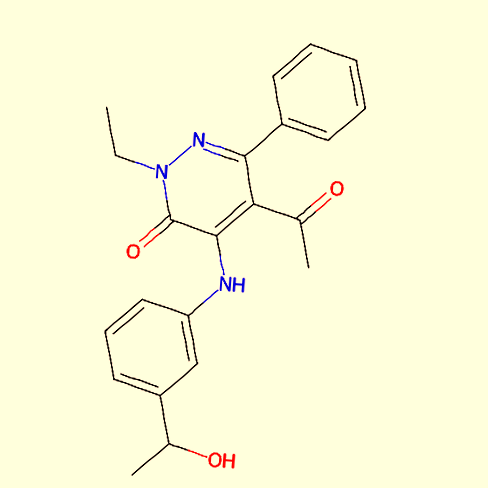 CCn1nc(-c2ccccc2)c(C(C)=O)c(Nc2cccc(C(C)O)c2)c1=O